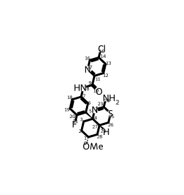 CO[C@@H]1CC[C@]2(c3cc(NC(=O)c4ccc(Cl)cn4)ccc3F)N=C(N)SC[C@@H]2C1